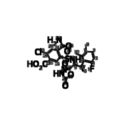 Cc1ccc(F)c([C@@H](C)[C@H](NS(=O)(=O)c2cc(C(=O)O)c(Cl)cc2C(N)=O)c2n[nH]c(=O)o2)c1C